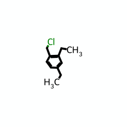 CCc1ccc(CCl)c(CC)c1